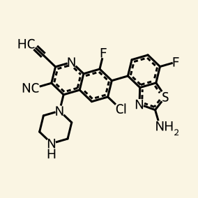 C#Cc1nc2c(F)c(-c3ccc(F)c4sc(N)nc34)c(Cl)cc2c(N2CCNCC2)c1C#N